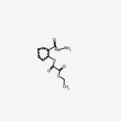 CCOC(=O)C(=O)Oc1ccccc1C(=O)NN